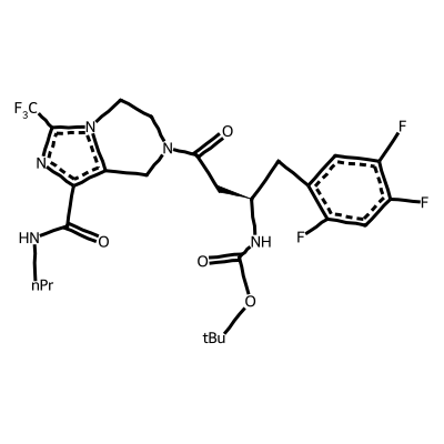 CCCNC(=O)c1nc(C(F)(F)F)n2c1CN(C(=O)C[C@@H](Cc1cc(F)c(F)cc1F)NC(=O)OC(C)(C)C)CC2